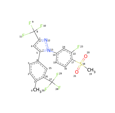 Cc1ccc(-c2cc(C(F)(F)F)nn2-c2ccc(S(C)(=O)=O)c(F)c2)cc1C(F)(F)F